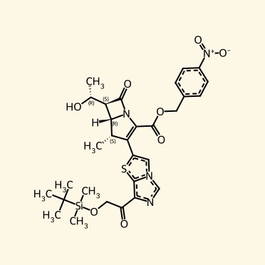 C[C@@H](O)[C@H]1C(=O)N2C(C(=O)OCc3ccc([N+](=O)[O-])cc3)=C(c3cn4cnc(C(=O)CO[Si](C)(C)C(C)(C)C)c4s3)[C@H](C)[C@H]12